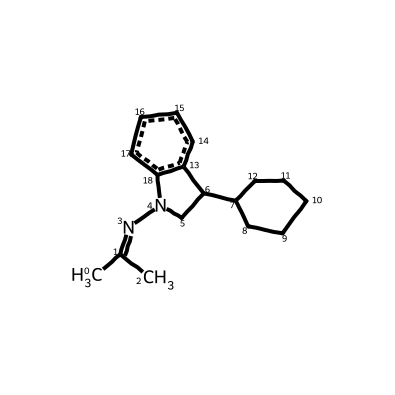 CC(C)=NN1CC(C2CCCCC2)c2ccccc21